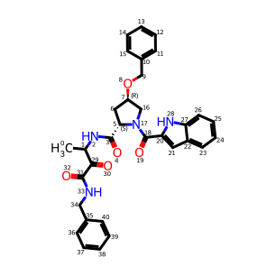 CC(NC(=O)[C@@H]1C[C@@H](OCc2ccccc2)CN1C(=O)c1cc2ccccc2[nH]1)C(=O)C(=O)NCc1ccccc1